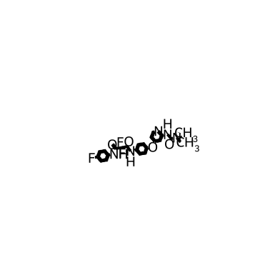 CN(C)C(=O)Nc1cc(Oc2ccc(NC(=O)C(F)(F)C(=O)Nc3ccc(F)cc3)cc2)ccn1